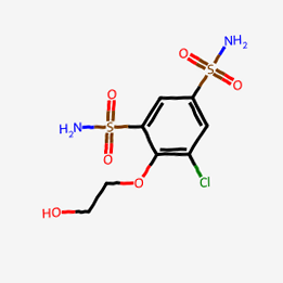 NS(=O)(=O)c1cc(Cl)c(OCCO)c(S(N)(=O)=O)c1